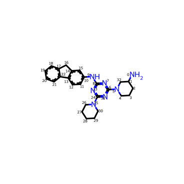 NC1CCCN(c2nc(Nc3ccc4c(c3)Cc3ccccc3-4)nc(N3CCCCC3)n2)C1